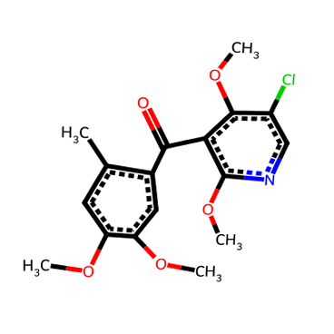 COc1cc(C)c(C(=O)c2c(OC)ncc(Cl)c2OC)cc1OC